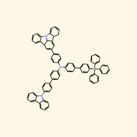 C1=CCC2C3=CC(c4ccc(N(c5ccc(-c6ccc(-n7c8ccccc8c8ccccc87)cc6)cc5)c5ccc(-c6ccc([Si](c7ccccc7)(c7ccccc7)c7ccccc7)cc6)cc5)cc4)=CC4c5ccccc5N(C2=C1)C34